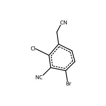 N#CCc1ccc(Br)c(C#N)c1Cl